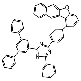 c1ccc(-c2cc(-c3ccccc3)cc(-c3nc(-c4ccccc4)nc(-c4ccc(-c5cccc6oc7cc8ccccc8cc7c56)cc4)n3)c2)cc1